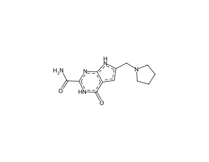 NC(=O)c1nc2[nH]c(CN3CCCC3)cc2c(=O)[nH]1